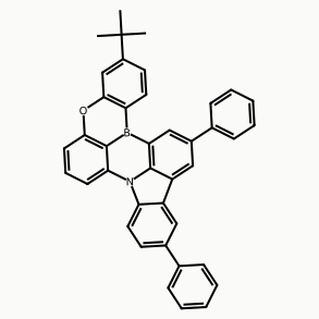 CC(C)(C)c1ccc2c(c1)Oc1cccc3c1B2c1cc(-c2ccccc2)cc2c4cc(-c5ccccc5)ccc4n-3c12